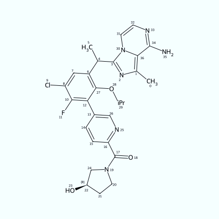 Cc1nc(C(C)c2cc(Cl)c(F)c(-c3ccc(C(=O)N4CC[C@@H](O)C4)nc3)c2OC(C)C)n2ccnc(N)c12